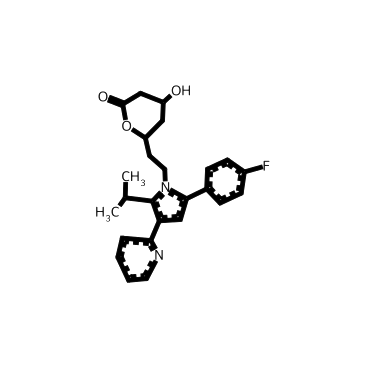 CC(C)c1c(-c2ccccn2)cc(-c2ccc(F)cc2)n1CCC1CC(O)CC(=O)O1